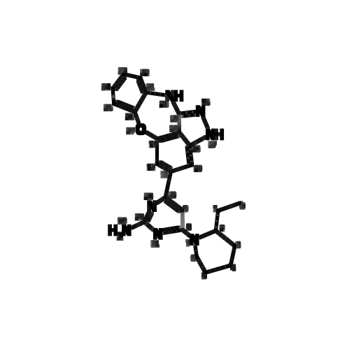 CCC1CCCCN1c1cc(-c2cc3c4c(n[nH]c4c2)Nc2ccccc2O3)nc(N)n1